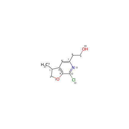 CC1COc2c1cc(CCO)nc2Cl